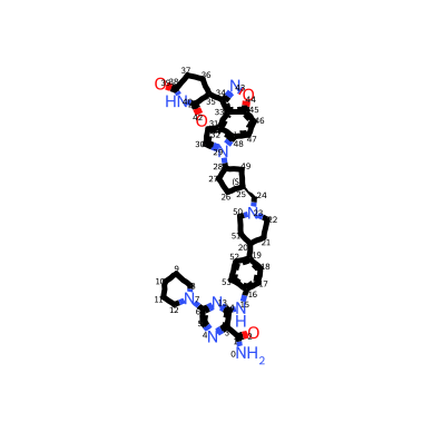 NC(=O)c1ncc(N2CCCCC2)nc1Nc1ccc(C2CCN(C[C@H]3CCC(n4ccc5c6c(C7CCC(=O)NC7=O)noc6ccc54)C3)CC2)cc1